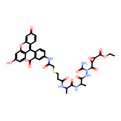 CCOC(=O)C1OC1C(=O)N(NC(=O)C(C)NC(=O)C(C)NC(=O)CCSCC(=O)Nc1ccc(-c2c3ccc(=O)cc-3oc3cc(O)ccc23)c(C(=O)O)c1)C(N)=O